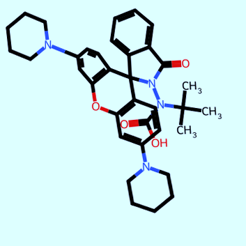 CC(C)(C)N(C(=O)O)N1C(=O)c2ccccc2C12c1ccc(N3CCCCC3)cc1Oc1cc(N3CCCCC3)ccc12